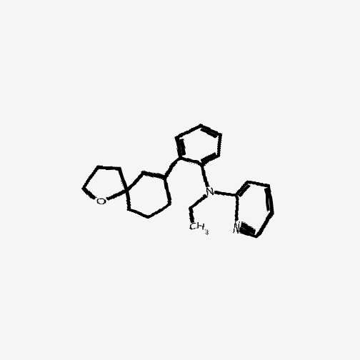 CCN(c1ccccn1)c1ccccc1C1CCCC2(CCCO2)C1